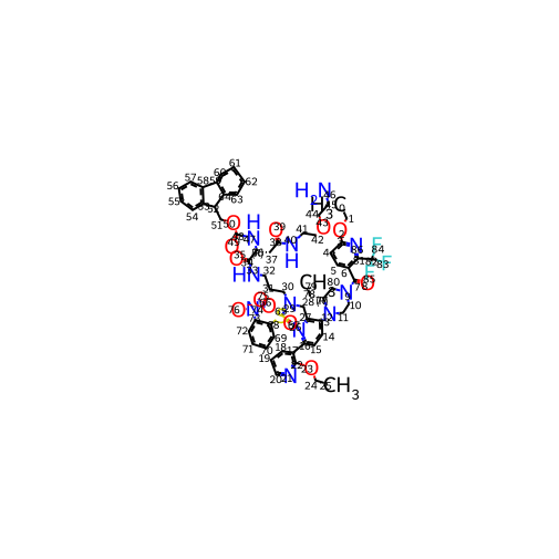 CCOc1ccc(C(=O)N2CCN(c3ccc(-c4cccnc4OCC)nc3CN(CCCNC(=O)[C@@H](CC(=O)NCCOCCN)NC(=O)OCC3c4ccccc4-c4ccccc43)S(=O)(=O)c3ccccc3[N+](=O)[O-])[C@H](CC)C2)c(C(F)(F)F)n1